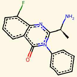 C[C@H](N)c1nc2c(F)cccc2c(=O)n1-c1ccccc1